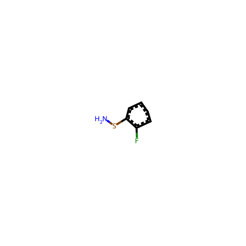 NSc1ccccc1F